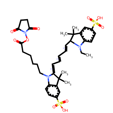 CCN1c2ccc(S(=O)(=O)O)cc2C(C)(C)C1/C=C/C=C/C=C1/N(CCCCCC(=O)ON2C(=O)CCC2=O)c2ccc(S(=O)(=O)O)cc2C1(C)C